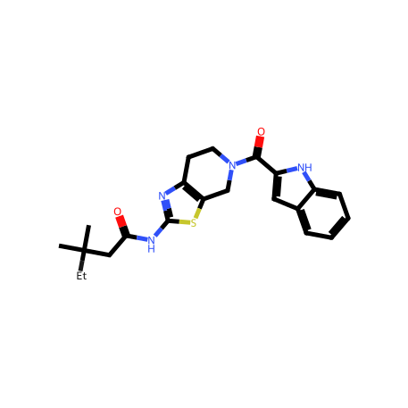 CCC(C)(C)CC(=O)Nc1nc2c(s1)CN(C(=O)c1cc3ccccc3[nH]1)CC2